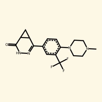 CN1CCN(c2ccc(C3=NNC(=O)C4CC34)cc2C(F)(F)F)CC1